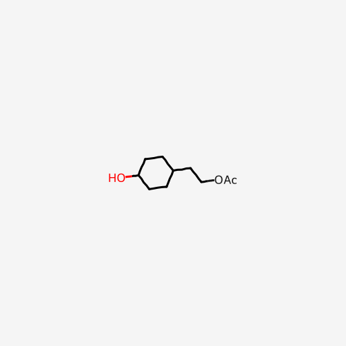 CC(=O)OCCC1CCC(O)CC1